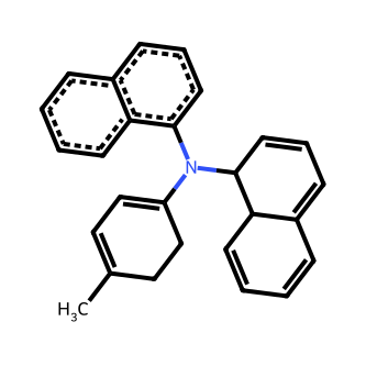 CC1=CC=C(N(c2cccc3ccccc23)C2C=CC=C3C=CC=CC32)CC1